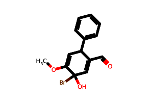 COC1=CC(c2ccccc2)C(C=O)=CC1(O)Br